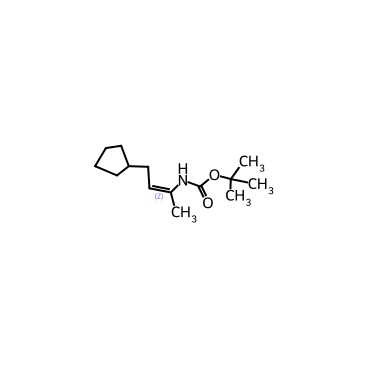 C/C(=C/CC1CCCC1)NC(=O)OC(C)(C)C